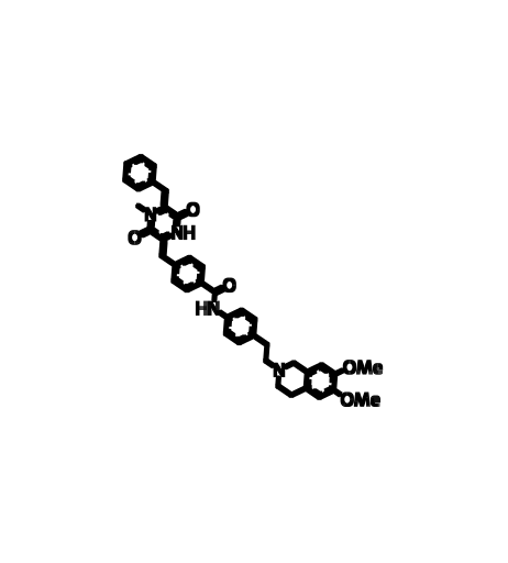 COc1cc2c(cc1OC)CN(CCc1ccc(NC(=O)c3ccc(C=c4[nH]c(=O)c(=Cc5ccccc5)n(C)c4=O)cc3)cc1)CC2